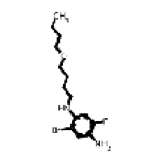 CCCCOCCCCNc1cc(F)c(N)cc1Br